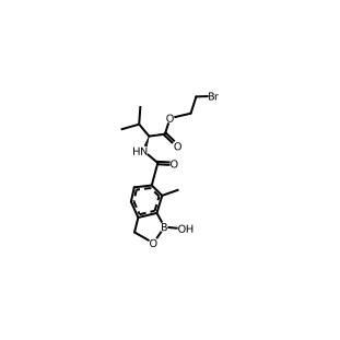 Cc1c(C(=O)N[C@H](C(=O)OCCBr)C(C)C)ccc2c1B(O)OC2